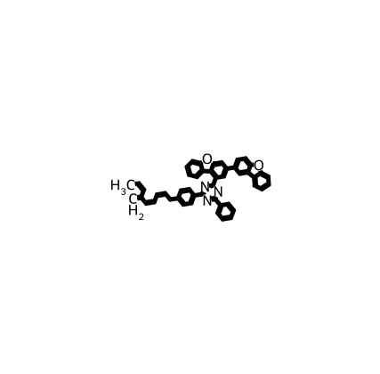 C=C(/C=C\C)/C=C\C=C/Cc1ccc(-c2nc(-c3ccccc3)nc(-c3cc(-c4ccc5oc6ccccc6c5c4)cc4oc5ccccc5c34)n2)cc1